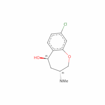 CN[C@H]1COc2cc(Cl)ccc2[C@H](O)C1